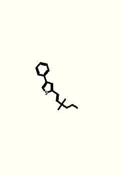 CCCC(C)(C)/C=C/c1cc(-c2ccccc2)cs1